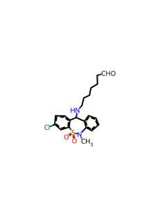 CN1c2ccccc2C(NCCCCCCC=O)c2ccc(Cl)cc2S1(=O)=O